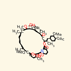 CO[C@H]1C[C@@H]2CC[C@@H](C)[C@@](O)(O2)C(=O)C(=O)N2CCCC[C@H]2C(=O)O[C@H]([C@H](C)C[C@@H]2CC[C@@H](OC(C)=O)[C@H](OC)C2)CC(=O)[C@H](C)/C=C(\C)[C@@H](OC(C)=O)[C@@H](CO)C(=O)[C@H](C)C[C@H](C)/C=C/C=C/C=C/1C